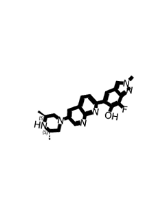 C[C@H]1CN(c2cnc3nc(-c4cc5cn(C)nc5c(F)c4O)ccc3c2)C[C@H](C)N1